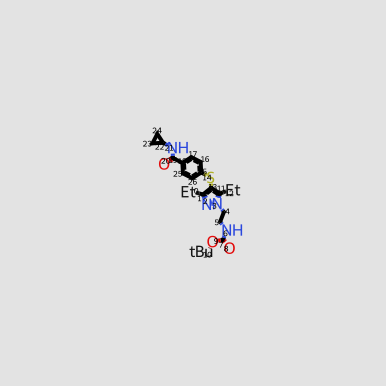 CCc1nn(CCNC(=O)OC(C)(C)C)c(CC)c1Sc1ccc(C(=O)NC2CC2)cc1